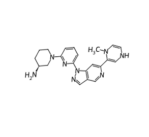 CN1C=CNC=C1c1cc2c(cn1)cnn2-c1cccc(N2CCC[C@H](N)C2)n1